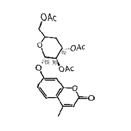 CC(=O)OCC1C[C@H](OC(C)=O)[C@@H](OC(C)=O)[C@H](Oc2ccc3c(C)cc(=O)oc3c2)O1